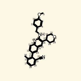 COc1ccc(CNc2nc3ccc(-c4c(C)cccc4C#N)cc3cc2C2CCOCC2)cc1